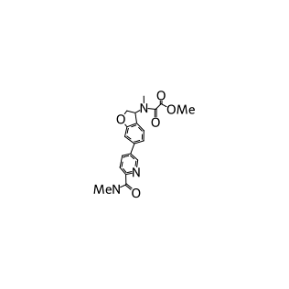 CNC(=O)c1ccc(-c2ccc3c(c2)OCC3N(C)C(=O)C(=O)OC)cn1